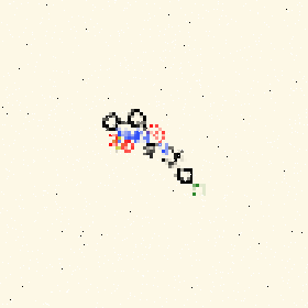 CC(C)[C@@H](NC(=O)c1cccc(-c2ccccc2NS(C)(=O)=O)c1)C(=O)N1CC[C@H](c2ccc(Cl)cc2)C(C)(C)C1